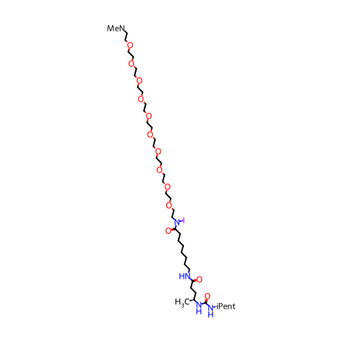 CCC[C@H](C)NC(=O)N[C@@H](C)CCC(=O)NCCCCCCCC(=O)N(I)CCOCCOCCOCCOCCOCCOCCOCCOCCOCCOCCNC